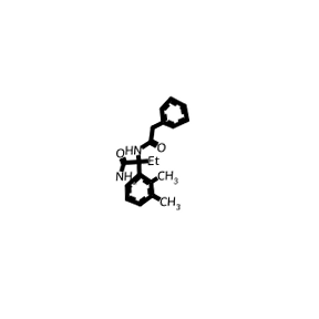 CCC(NC(=O)Cc1ccccc1)(C(N)=O)c1cccc(C)c1C